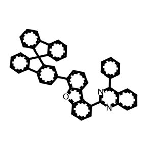 c1ccc(-c2nc(-c3cccc4oc5c(-c6ccc7c(c6)C6(c8ccccc8-c8ccccc86)c6ccccc6-7)cccc5c34)nc3ccccc23)cc1